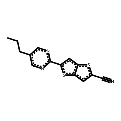 CCCc1cnc(-c2cc3sc(C#N)cc3s2)nc1